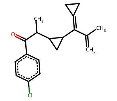 C=C(C)C(=C1CC1)C1CC1C(C)C(=O)c1ccc(Cl)cc1